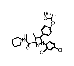 CC1C(C(=O)NN2CCCCC2)=NN(c2ccc(Cl)cc2Cl)C1c1ccc(OC(=O)OC(C)(C)C)cc1